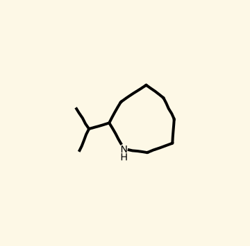 CC(C)C1CCCCCCN1